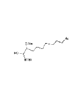 CCCCCCC(O)C(CCCCCCCC(C)=O)OC